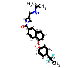 CC(C)NCC1CN(C(=O)c2ccc3c(Oc4ccc(C(C)(F)F)cc4)cccc3c2)C1